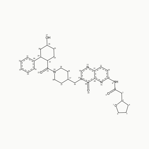 O=C(CC1CCCO1)Nc1ccc2ncn(CC3CCN(C(=O)C4CCC(O)CC4c4ccccc4)CC3)c(=O)c2n1